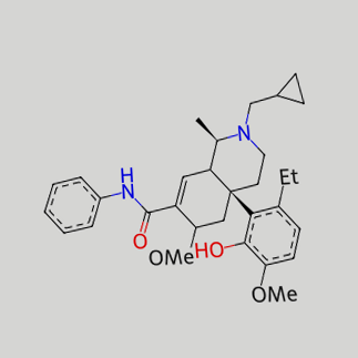 CCc1ccc(OC)c(O)c1[C@]12CCN(CC3CC3)[C@H](C)C1C=C(C(=O)Nc1ccccc1)C(OC)C2